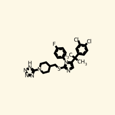 CC(C)(c1ccc(Cl)c(Cl)c1)c1cnc(SCC2CCN(c3nnn[nH]3)CC2)n1-c1ccc(F)cc1